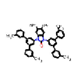 CCCc1cc2c(cc1CCC)n(-c1cc(-c3cccc(C)c3)cc(-c3cccc(C)c3)c1)c(=O)n2-c1cc(-c2cccc(C)c2)cc(-c2cccc(C)c2)c1